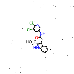 O=C(Cc1c(C(=O)O)[nH]c2ccccc12)Nc1cnc(Cl)c(Cl)c1